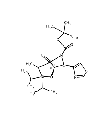 CC(C)[Si](O[C@H]1C(=O)N(C(=O)OC(C)(C)C)[C@H]1c1cocn1)(C(C)C)C(C)C